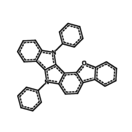 c1ccc(-n2c3ccc4c5ccccc5oc4c3c3c2c2ccccc2n3-c2ccccc2)cc1